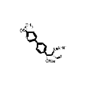 CO[C@H](c1ccc(-c2ccc([S+](C)[O-])nc2)cc1)[C@@H](CF)N=[N+]=[N-]